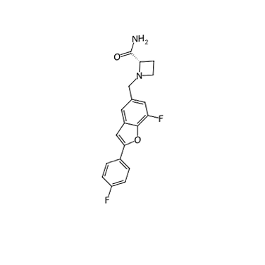 NC(=O)[C@@H]1CCN1Cc1cc(F)c2oc(-c3ccc(F)cc3)cc2c1